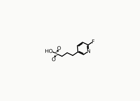 O=S(=O)(O)CCCc1ccc(F)nc1